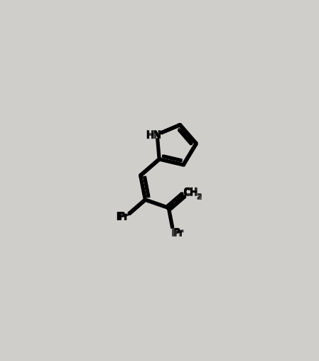 C=C(/C(=C\c1ccc[nH]1)C(C)C)C(C)C